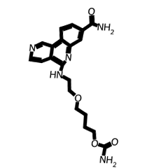 NC(=O)OCCCCOCCNc1nc2cc(C(N)=O)ccc2c2cnccc12